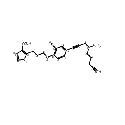 C#CCCCN(C)CC#Cc1ccc(OCCCc2scnc2C(=O)O)c(F)c1